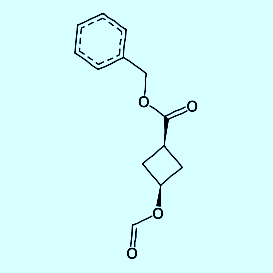 O=CO[C@H]1C[C@@H](C(=O)OCc2ccccc2)C1